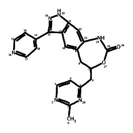 Cc1nccc(CC2Cc3cc4c(-c5ccncc5)n[nH]c4cc3NC(=O)O2)n1